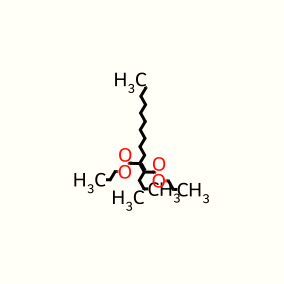 CCCCCCCCCCC(C(=O)OCCC)=C(CC(C)C)C(=O)OCCC